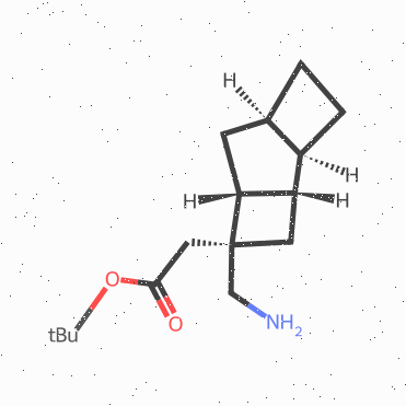 CC(C)(C)OC(=O)C[C@@]1(CN)C[C@H]2[C@@H]3CC[C@@H]3C[C@H]21